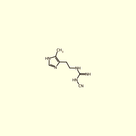 Cc1[nH]cnc1CCNC(=N)NC#N